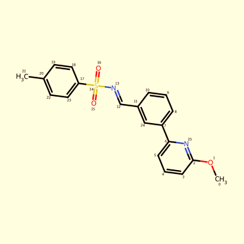 COc1cccc(-c2cccc(/C=N/S(=O)(=O)c3ccc(C)cc3)c2)n1